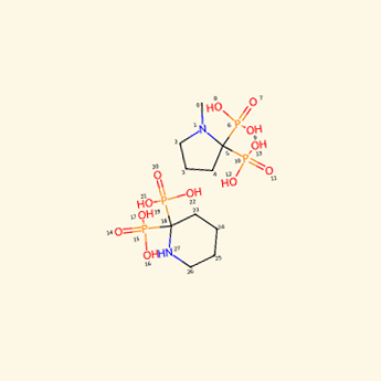 CN1CCCC1(P(=O)(O)O)P(=O)(O)O.O=P(O)(O)C1(P(=O)(O)O)CCCCN1